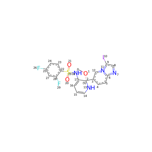 CO[C@]1(c2ccc3ncc(I)n3c2)NC=CC=C1NS(=O)(=O)c1ccc(F)cc1F